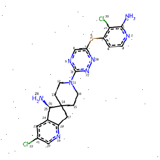 Nc1nccc(Sc2cnc(N3CCC4(CC3)Cc3ncc(Cl)cc3[C@H]4N)nn2)c1Cl